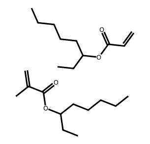 C=C(C)C(=O)OC(CC)CCCCC.C=CC(=O)OC(CC)CCCCC